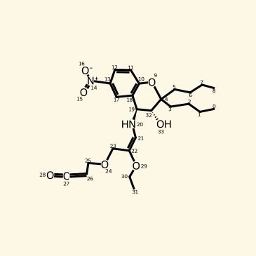 CCCCC1(CCCC)Oc2ccc([N+](=O)[O-])cc2[C@H](N/C=C(\COCC=C=O)OCC)[C@H]1O